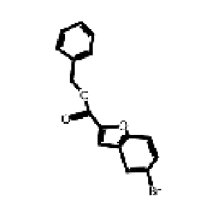 O=C(OCc1ccccc1)c1cc2cc(Br)ccc2o1